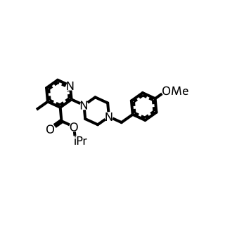 COc1ccc(CN2CCN(c3nccc(C)c3C(=O)OC(C)C)CC2)cc1